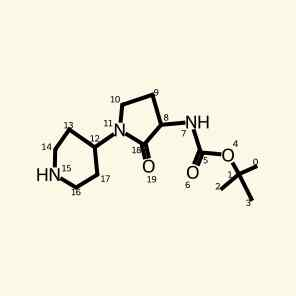 CC(C)(C)OC(=O)NC1CCN(C2CCNCC2)C1=O